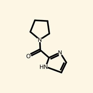 O=C(c1ncc[nH]1)N1CCCC1